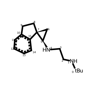 CC(C)(C)NCCN[C@@H]1C[C@@]12CCc1ccccc12